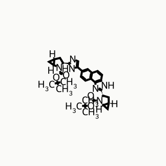 CC(C)(C)OC(=O)N1[C@@H]2C[C@@H]2C[C@H]1c1ncc(-c2ccc3c(ccc4[nH]c([C@@H]5C[C@H]6C[C@H]6N5C(=O)OC(C)(C)C)nc43)c2)[nH]1